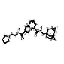 O=C(NCCN1CCCC1)c1cn2c(C(=O)NCC34CC5CC5C5(CC5C3)C4)cccc2n1